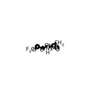 CC(Cc1nsc(NC(=O)c2coc(-c3cccc(OC(F)(F)F)c3)c2)n1)N1CCOCC1